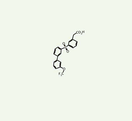 O=C(O)Cc1cccc(S(=O)(=O)c2cccc(-c3cccc(OC(F)(F)F)c3)c2)c1